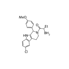 BC(CC)C(=O)N1CCc2c([nH]c3ccc(Cl)cc23)C1c1ccc(OC)cc1